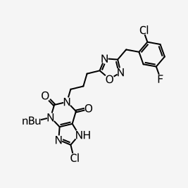 CCCCn1c(=O)n(CCCc2nc(Cc3cc(F)ccc3Cl)no2)c(=O)c2[nH]c(Cl)nc21